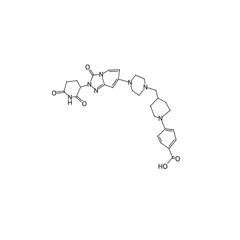 O=C1CCC(n2nc3cc(N4CCN(CC5CCN(c6ccc(C(=O)O)cc6)CC5)CC4)ccn3c2=O)C(=O)N1